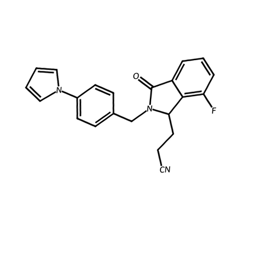 N#CCCC1c2c(F)cccc2C(=O)N1Cc1ccc(-n2cccc2)cc1